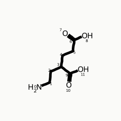 NCCC(CCC(=O)O)C(=O)O